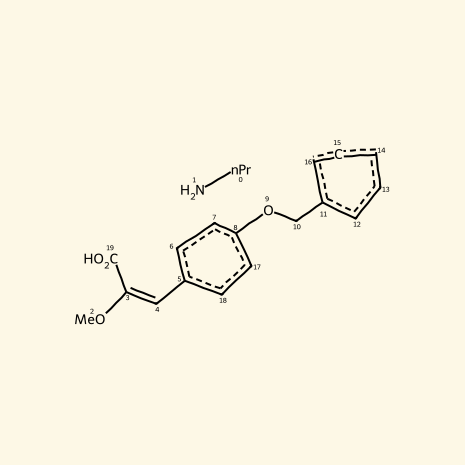 CCCN.COC(=Cc1ccc(OCc2ccccc2)cc1)C(=O)O